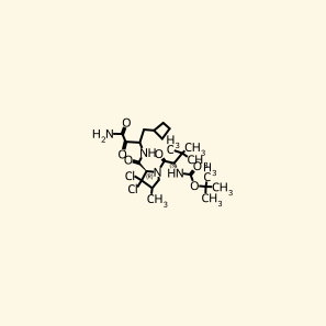 CC1CN(C(=O)[C@@H](NC(=O)OC(C)(C)C)C(C)(C)C)[C@H](C(=O)NC(CC2CCC2)C(=O)C(N)=O)C1(Cl)Cl